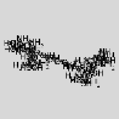 NCC1O[C@H](OC2C(N)C[C@@H](N)C(O)[C@H]2O[C@@H]2O[C@H](CSCCNC(=S)NCCOCCOCCNC(=S)NCCSC[C@H]3O[C@@H](OC4C(O[C@@H]5OC(CN)C(O)[C@H](O)C5N)C(N)C[C@H](N)[C@@H]4O)C(O)C3O[C@@H]3O[C@H](CN)C(O)C(O)C3N)C(O[C@H]3O[C@@H](CN)C(O)C(O)C3N)[C@@H]2O)C(N)[C@@H](O)C1O